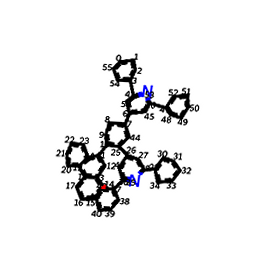 c1ccc(-c2cc(-c3ccc(-c4cc5ccccc5c5ccccc45)c(-c4cc(-c5ccccc5)nc(-c5ccccc5)c4)c3)cc(-c3ccccc3)n2)cc1